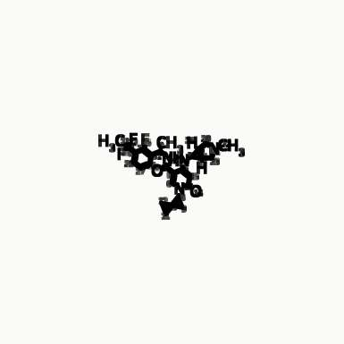 C[C@@H](NC(=O)c1cn([C@H]2CC23CC3)c(=O)cc1N[C@H]1[C@@H]2CN(C)C[C@@H]21)c1cccc(C(C)(F)F)c1F